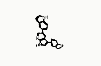 c1cc2cc(-c3cnc4[nH]cc(-c5ccc6c(c5)CCN6)c4c3)ccc2[nH]1